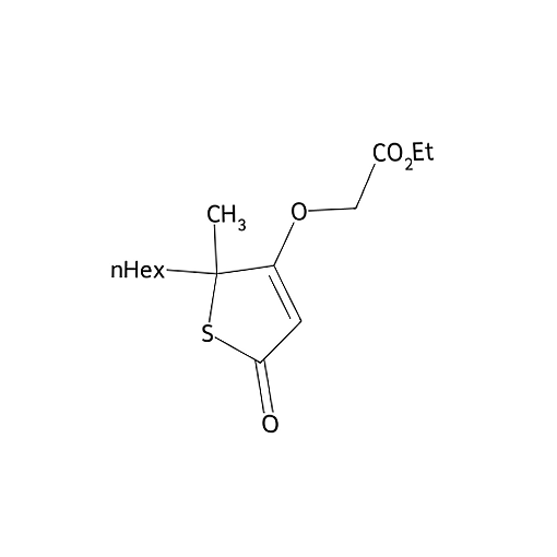 CCCCCCC1(C)SC(=O)C=C1OCC(=O)OCC